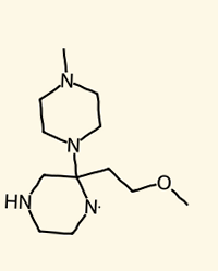 COCCC1(N2CCN(C)CC2)CNCC[N]1